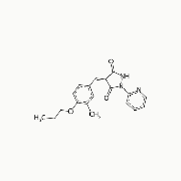 CCCOc1ccc(C=C2C(=O)NN(c3ccccn3)C2=O)cc1C